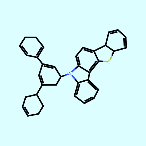 C1=CC2Sc3c(ccc4c3c3ccccc3n4C3C=C(C4=CCCC=C4)C=C(C4CC=CCC4)C3)C2C=C1